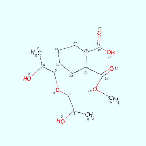 CC(O)COCC(C)O.COC(=O)C1CCCCC1C(=O)O